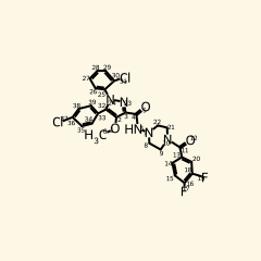 COc1c(C(=O)NN2CCN(C(=O)c3ccc(F)c(F)c3)CC2)nn(-c2ccccc2Cl)c1-c1ccc(Cl)cc1